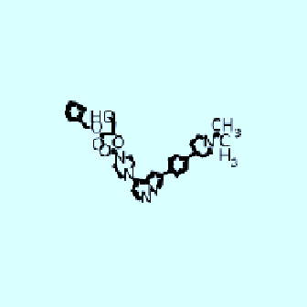 CC(C)N1CCC(c2ccc(-c3cc4c(N5CCN(C(=O)OC(CO)C(=O)OCc6ccccc6)CC5)ccnn4c3)cc2)CC1